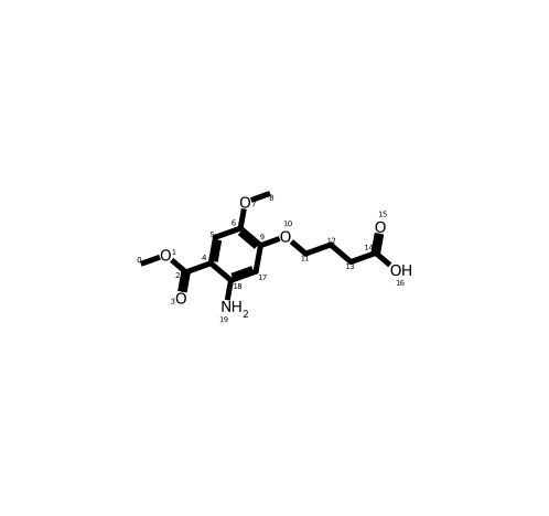 COC(=O)c1cc(OC)c(OCCCC(=O)O)cc1N